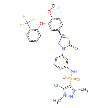 COc1ccc([C@H]2CC(=O)N(c3cccc(NS(=O)(=O)c4c(C)nn(C)c4Cl)c3)C2)cc1Oc1ccccc1C(F)(F)F